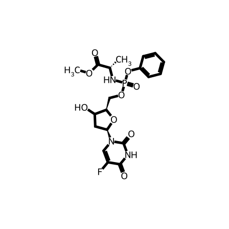 COC(=O)[C@H](C)NP(=O)(OC[C@H]1O[C@@H](n2cc(F)c(=O)[nH]c2=O)CC1O)Oc1ccccc1